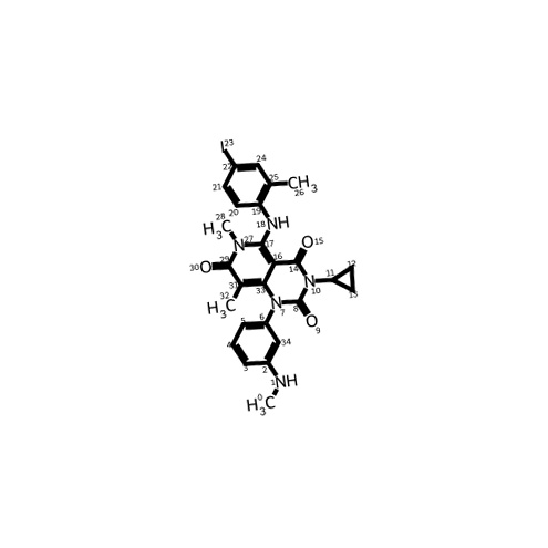 CNc1cccc(-n2c(=O)n(C3CC3)c(=O)c3c(Nc4ccc(I)cc4C)n(C)c(=O)c(C)c32)c1